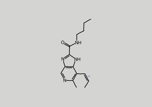 C/C=C\c1c(C)ncc2nc(C(=O)NCCCC)[nH]c12